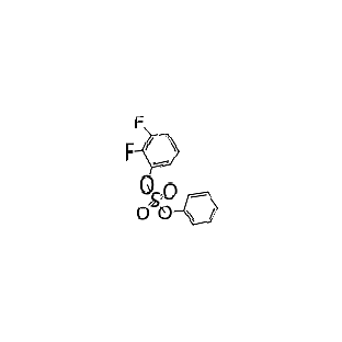 O=S(=O)(Oc1ccccc1)Oc1cccc(F)c1F